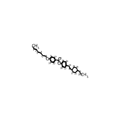 CCCCCCCOc1ccc(C(=O)Oc2ccc(CCC3CCC(CCC)CC3)cc2)cc1